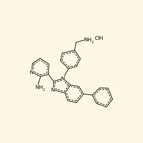 Cl.NCc1ccc(-n2c(-c3cccnc3N)nc3ccc(-c4ccccc4)cc32)cc1